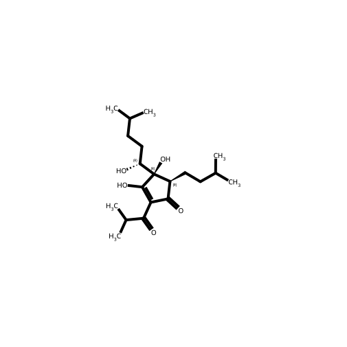 CC(C)CC[C@@H](O)[C@@]1(O)C(O)=C(C(=O)C(C)C)C(=O)[C@@H]1CCC(C)C